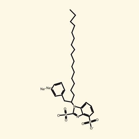 CCCCCCCCCCCCCCCCC(Cc1ccccc1)n1c(S(=O)(=O)[O-])nc2c(S(=O)(=O)[O-])cccc21.[Na+].[Na+]